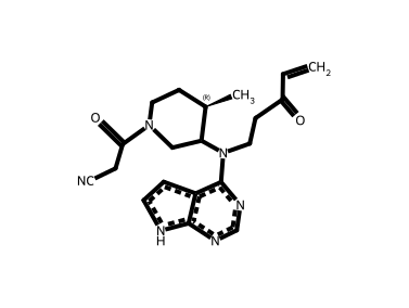 C=CC(=O)CCN(c1ncnc2[nH]ccc12)C1CN(C(=O)CC#N)CC[C@H]1C